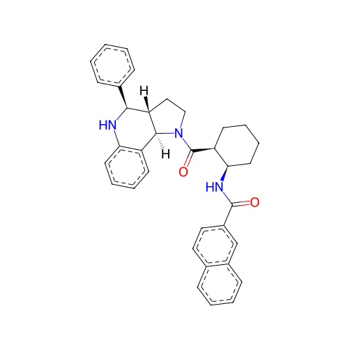 O=C(N[C@@H]1CCCC[C@@H]1C(=O)N1CC[C@H]2[C@H](c3ccccc3)Nc3ccccc3[C@@H]21)c1ccc2ccccc2c1